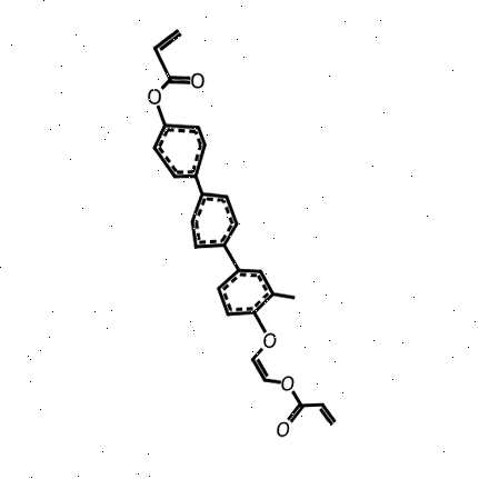 C=CC(=O)O/C=C\Oc1ccc(-c2ccc(-c3ccc(OC(=O)C=C)cc3)cc2)cc1C